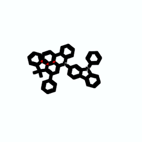 CC1(C)c2ccccc2-c2cc(N(c3ccc4c5ccccc5n(-c5ccccc5)c4c3)c3ccccc3-c3ccccc3)cc(-c3ccccc3)c21